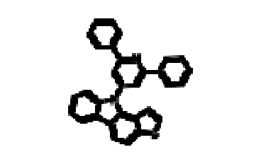 c1ccc(-c2cc(-n3c4ccccc4c4ccc5sccc5c43)cc(-c3ccccc3)n2)cc1